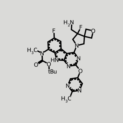 Cc1ncc(Oc2nc(N3CC(F)(CN)C4(COC4)C3)c3c(n2)[nH]c2c(N(C)C(=O)OC(C)(C)C)cc(F)cc23)cn1